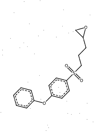 O=S(=O)(CCCC1CO1)c1ccc(Oc2ccccc2)cc1